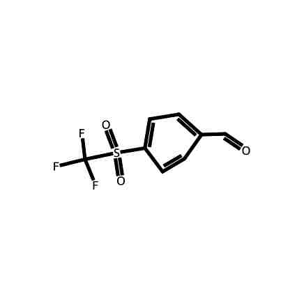 O=Cc1ccc(S(=O)(=O)C(F)(F)F)cc1